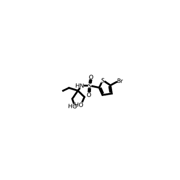 CCC(CO)(CO)NS(=O)(=O)c1ccc(Br)s1